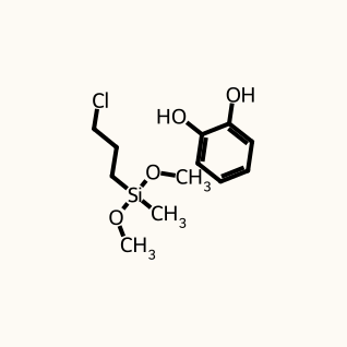 CO[Si](C)(CCCCl)OC.Oc1ccccc1O